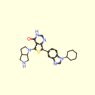 O=c1[nH]cnc2c(-c3ccc4c(c3)ncn4C3CCCCC3)sc(N3CCC4CNCC43)c12